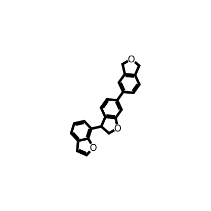 c1cc(C2COc3cc(-c4ccc5c(c4)COC5)ccc32)c2occc2c1